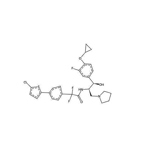 O=C(N[C@H](CN1CCCC1)[C@H](O)c1ccc(OC2CC2)c(F)c1)C(F)(F)c1ccc(-c2ccc(Cl)s2)cc1